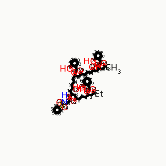 CCC1CC(CCCC2CC(CC(O)CCCC3CC(CCCC(O)CC4C[C@H](C)OC(c5ccccc5O)O4)OC(c4ccccc4O)O3)OC(CNS(=O)(=O)c3ccccc3)O2)OC(c2ccccc2O)O1